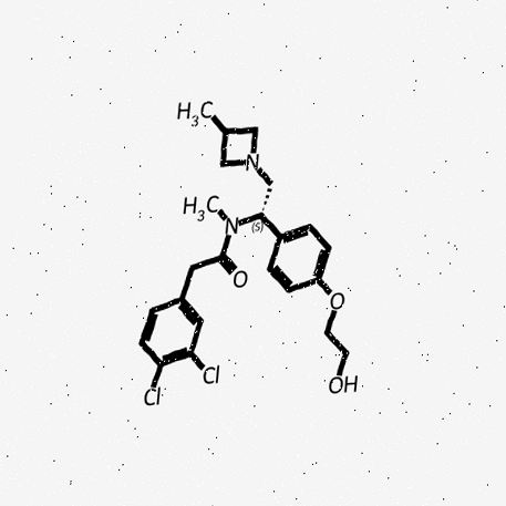 CC1CN(C[C@H](c2ccc(OCCO)cc2)N(C)C(=O)Cc2ccc(Cl)c(Cl)c2)C1